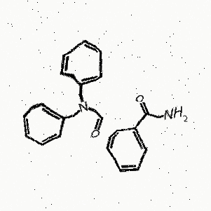 NC(=O)c1ccccc1.O=CN(c1ccccc1)c1ccccc1